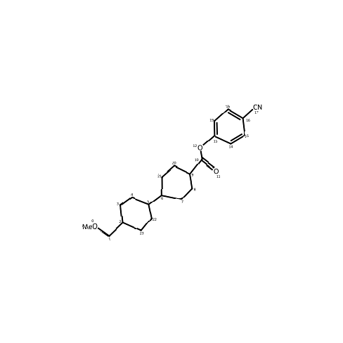 COCC1CCC(C2CCC(C(=O)Oc3ccc(C#N)cc3)CC2)CC1